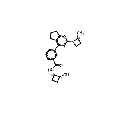 C[C@H]1CCN1c1nc2c(c(-c3cccc(C(=O)N[C@H]4CC[C@@H]4O)c3)n1)CCC2